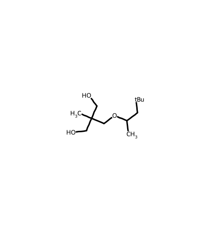 CC(CC(C)(C)C)OCC(C)(CO)CO